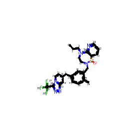 CCCN1CCN(Cc2cc(Cc3ccn4c(C(F)(F)F)nnc4c3)ccc2C)[S+]([O-])c2cccnc21